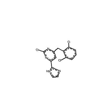 Clc1nc(Cc2c(Cl)cccc2Cl)cc(-c2ncc[nH]2)n1